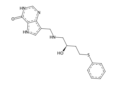 O=c1[nH]cnc2c(CNC[C@H](O)CCSc3ccccc3)c[nH]c12